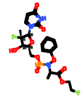 CC(C(=O)OCCF)N(Oc1ccccc1)[PH](=O)OC[C@H]1O[C@@H](n2ccc(=O)[nH]c2=O)[C@](C)(F)[C@@H]1O